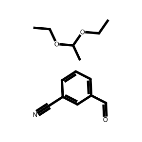 CCOC(C)OCC.N#Cc1cccc(C=O)c1